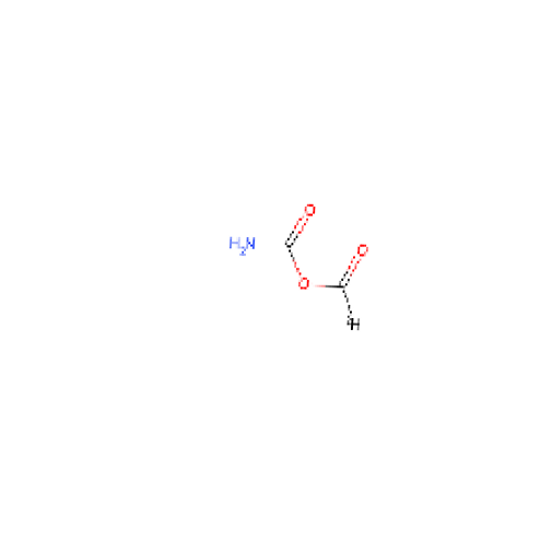 [2H]C(=O)OC(N)=O